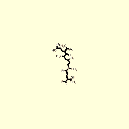 C=C(S)/C(=C\C=C(/CC)N(C)CCC(C)CC(C)C(=O)/C(CCC(O)CCC)=C(/C)C(C)=O)C(F)F